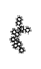 c1ccc(-c2nc(-c3ccc4ccccc4c3)nc(-c3ccc(-c4cccc5c4Oc4ccc(-c6ccccc6)c6cccc-5c46)c4ccccc34)n2)cc1